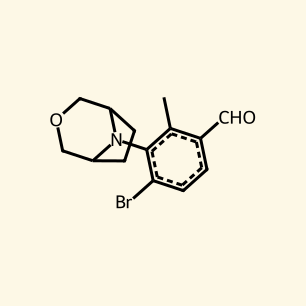 Cc1c(C=O)ccc(Br)c1N1C2CCC1COC2